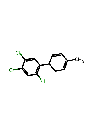 CC1=CCC(c2cc(Cl)c(Cl)cc2Cl)C=C1